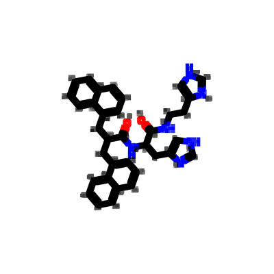 O=C(NC(Cc1c[nH]cn1)C(=O)NCCc1c[nH]cn1)C(Cc1cccc2ccccc12)Cc1cccc2ccccc12